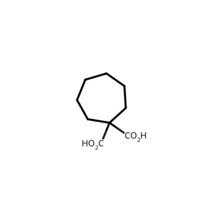 O=C(O)C1(C(=O)O)CCCCCC1